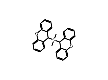 C[Si](C)(C1c2ccccc2Oc2ccccc21)C1c2ccccc2Oc2ccccc21